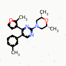 Cc1cccc(-c2cnc(N3C[C@@H](C)O[C@@H](C)C3)nc2-c2ccoc2C)c1